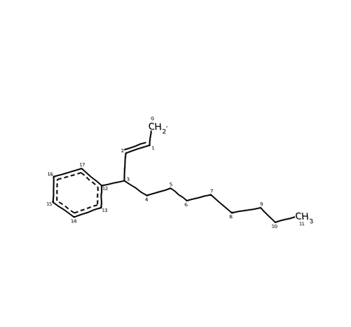 [CH2]C=CC(CCCCCCCC)c1ccccc1